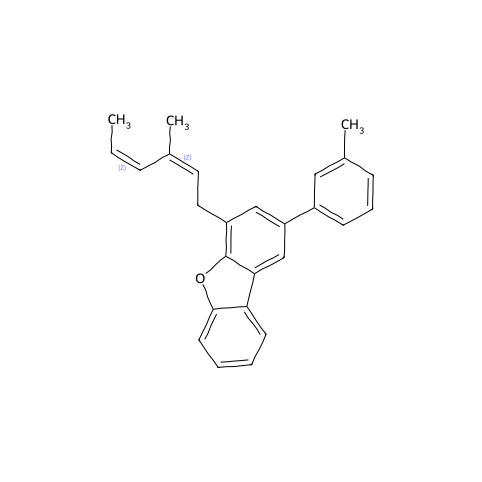 C/C=C\C(C)=C/Cc1cc(-c2cccc(C)c2)cc2c1oc1ccccc12